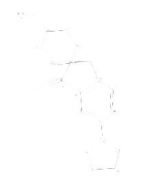 COC1CCC2(CC1)Cc1ccc(N3CCCC3)cc1C2=O